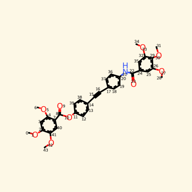 COc1cc(OC)c(C(=O)Oc2ccc(C#Cc3ccc(NC(=O)c4cc(OC)c(OC)c(OC)c4)cc3)cc2)cc1OC